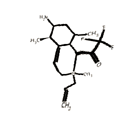 C=CC[N+]1(C)CC=C2C(C(C)CC(N)[C@@H]2C)C1C(=O)C(F)(F)F